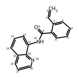 C=Cc1ccccc1C(=O)Nc1cccc2cccnc12